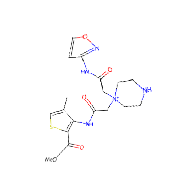 COC(=O)c1scc(C)c1NC(=O)C[N+]1(CC(=O)Nc2ccon2)CCNCC1